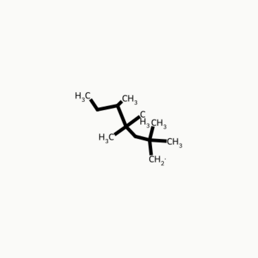 [CH2]C(C)(C)CC(C)(C)C(C)CC